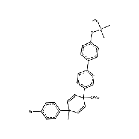 COC1(c2ccc(-c3ccc(O[Si](C)(C)C(C)(C)C)cc3)cc2)C=CC(C)(c2ccc(Br)cc2)C=C1